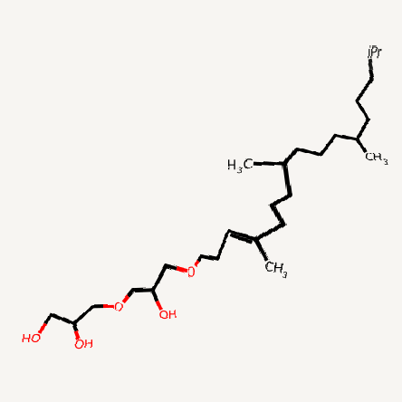 CC(=CCCOCC(O)COCC(O)CO)CCCC(C)CCCC(C)CCCC(C)C